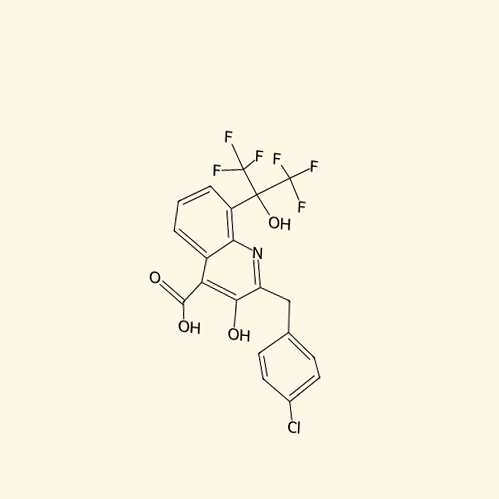 O=C(O)c1c(O)c(Cc2ccc(Cl)cc2)nc2c(C(O)(C(F)(F)F)C(F)(F)F)cccc12